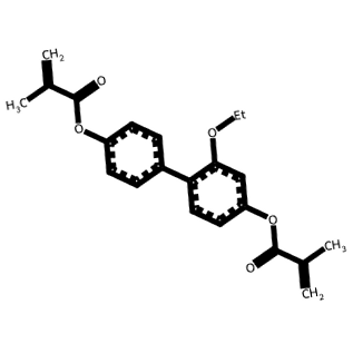 C=C(C)C(=O)Oc1ccc(-c2ccc(OC(=O)C(=C)C)cc2OCC)cc1